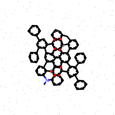 CN1c2ccccc2B2c3c(cccc31)-c1cc(-c3c(-c4ccccc4)cc(-c4ccccc4)cc3-c3ccccc3)c3cc4c5c(cc(-c6c(-c7ccccc7)cc(-c7ccccc7)cc6-c6ccccc6)c6cc2c1c3c65)-c1cccc2c1B4c1ccccc1C2